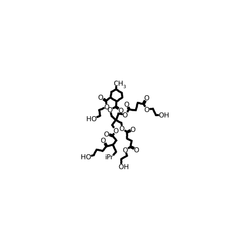 CC(C)CC(CC(=O)OCC(COC(=O)CCC(=O)OCCO)(COC(=O)CCC(=O)OCCO)COC(=O)C1CCC(C)CC1C(=O)OCCO)C(=O)CCCO